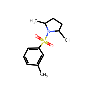 Cc1cccc(S(=O)(=O)N2C(C)CCC2C)c1